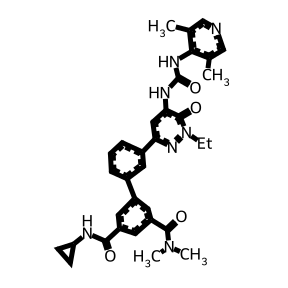 CCn1nc(-c2cccc(-c3cc(C(=O)NC4CC4)cc(C(=O)N(C)C)c3)c2)cc(NC(=O)Nc2c(C)cncc2C)c1=O